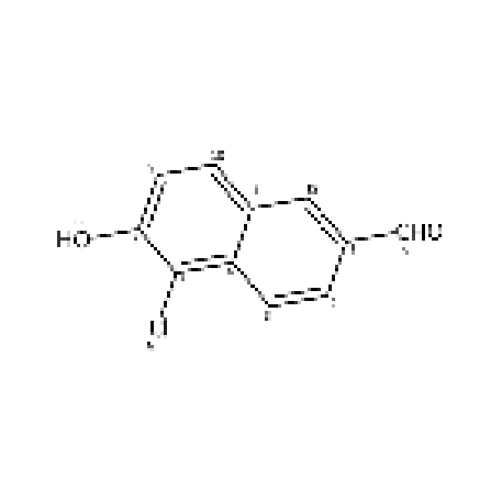 O=Cc1ccc2c(Cl)c(O)ccc2c1